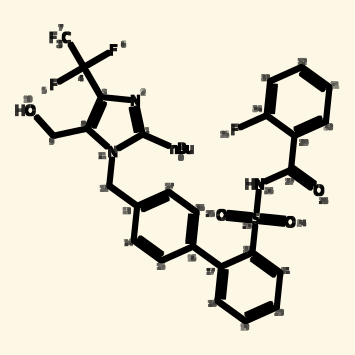 CCCCc1nc(C(F)(F)C(F)(F)F)c(CO)n1Cc1ccc(-c2ccccc2S(=O)(=O)NC(=O)c2ccccc2F)cc1